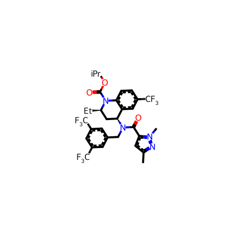 CC[C@@H]1C[C@H](N(Cc2cc(C(F)(F)F)cc(C(F)(F)F)c2)C(=O)c2cc(C)nn2C)c2cc(C(F)(F)F)ccc2N1C(=O)OC(C)C